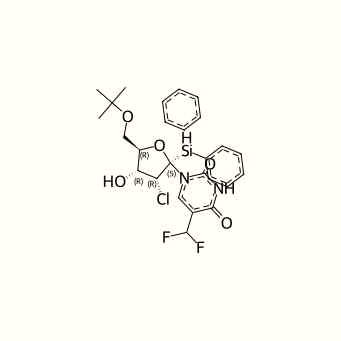 CC(C)(C)OC[C@H]1O[C@](n2cc(C(F)F)c(=O)[nH]c2=O)([SiH](c2ccccc2)c2ccccc2)[C@H](Cl)[C@@H]1O